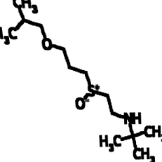 CC(C)COCCC[S+]([O-])CCNC(C)(C)C